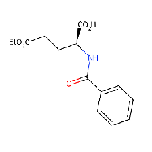 CCOC(=O)CC[C@H](NC(=O)c1ccccc1)C(=O)O